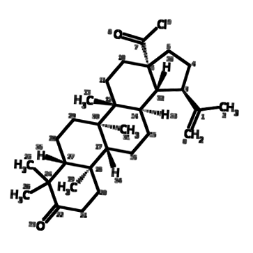 C=C(C)[C@@H]1CC[C@]2(C(=O)Cl)CC[C@]3(C)[C@H](CC[C@@H]4[C@@]5(C)CCC(=O)C(C)(C)[C@@H]5CC[C@]43C)[C@@H]12